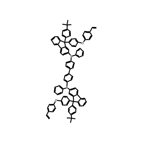 C=Cc1ccc(Oc2ccc(C3(c4ccc(C(C)(C)C)cc4)c4ccccc4-c4ccc(N(c5ccccc5)c5ccc(-c6ccc(N(c7ccccc7)c7ccc8c(c7)C(c7ccc(Oc9ccc(C=C)cc9)cc7)(c7ccc(C(C)(C)C)cc7)c7ccccc7-8)cc6)cc5)cc43)cc2)cc1